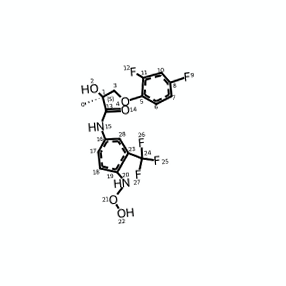 C[C@](O)(COc1ccc(F)cc1F)C(=O)Nc1ccc(NOO)c(C(F)(F)F)c1